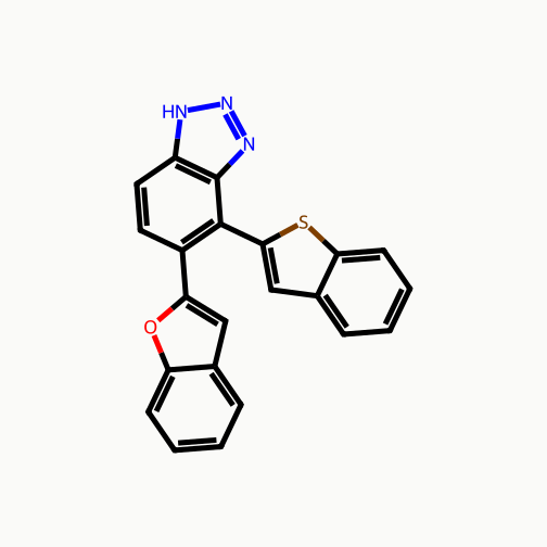 c1ccc2oc(-c3ccc4[nH]nnc4c3-c3cc4ccccc4s3)cc2c1